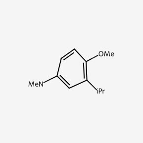 CNc1ccc(OC)c(C(C)C)c1